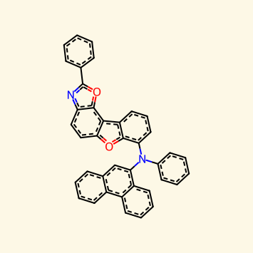 c1ccc(-c2nc3ccc4oc5c(N(c6ccccc6)c6cc7ccccc7c7ccccc67)cccc5c4c3o2)cc1